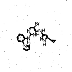 BrC1=C(Nc2cc(C3CC3)[nH]n2)NC(Nc2ccccc2-n2cccc2)N=C1